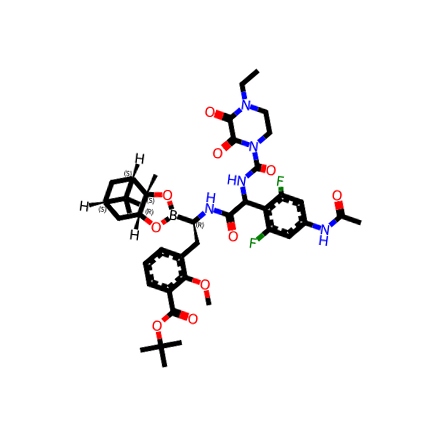 CCN1CCN(C(=O)NC(C(=O)N[C@@H](Cc2cccc(C(=O)OC(C)(C)C)c2OC)B2O[C@@H]3C[C@@H]4C[C@@H](C4(C)C)[C@]3(C)O2)c2c(F)cc(NC(C)=O)cc2F)C(=O)C1=O